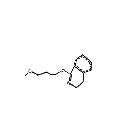 COCCCOC1=NCCc2ccccc21